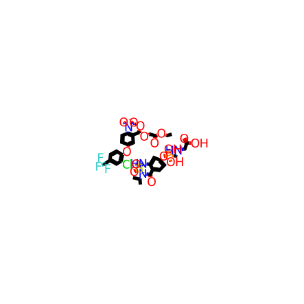 CC(C)N1C(=O)c2ccccc2NS1(=O)=O.CCOC(=O)COC(=O)c1cc(Oc2ccc(C(F)(F)F)cc2Cl)ccc1[N+](=O)[O-].O=C(O)CNCP(=O)(O)O